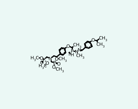 COP(=O)(CN(CCc1ccc(OC(C)[PH](=S)N(C)N=Cc2ccc(OC(C)C)cc2)cc1)CP(=O)(OC)OC)OC